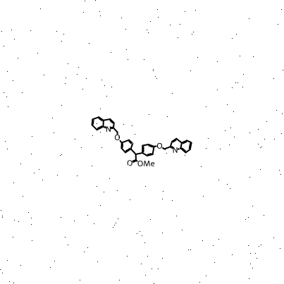 COC(=O)C(c1ccc(OCc2ccc3ccccc3n2)cc1)c1ccc(OCc2ccc3ccccc3n2)cc1